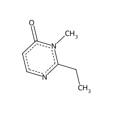 CCc1nccc(=O)n1C